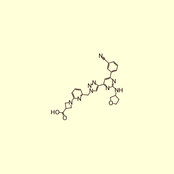 N#Cc1cccc(-c2cc(-c3cn(Cc4cccc(N5CC(C(=O)O)C5)n4)nn3)nc(NC3CCOC3)n2)c1